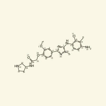 COc1cc(-c2nc(Nc3ccc(N)c(C)c3Cl)n(C)n2)ccc1OCC(=O)NC1CCNC1